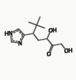 CC(C)(C)C(CC(O)C(=O)CO)c1c[nH]cn1